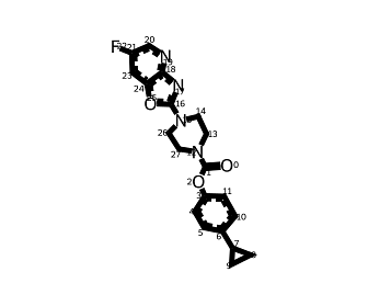 O=C(Oc1ccc(C2CC2)cc1)N1CCN(c2nc3ncc(F)cc3o2)CC1